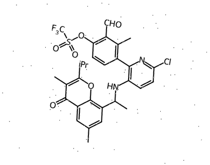 Cc1cc(C(C)Nc2ccc(Cl)nc2-c2ccc(OS(=O)(=O)C(F)(F)F)c(C=O)c2C)c2oc(C(C)C)c(C)c(=O)c2c1